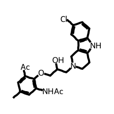 CC(=O)Nc1cc(C)cc(C(C)=O)c1OCC(O)CN1CCc2[nH]c3ccc(Cl)cc3c2C1